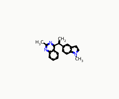 C=C(c1ccc2c(ccn2C)c1)c1nc(C)nc2ccccc12